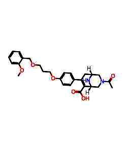 COc1ccccc1COCCCOc1ccc(C2=C(C(=O)O)[C@H]3CN(C(C)=O)C[C@@H](C2)N3)cc1